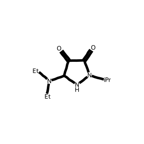 CCN(CC)C1NN(C(C)C)C(=O)C1=O